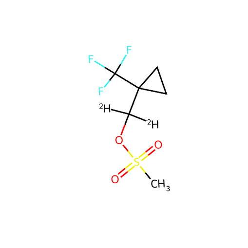 [2H]C([2H])(OS(C)(=O)=O)C1(C(F)(F)F)CC1